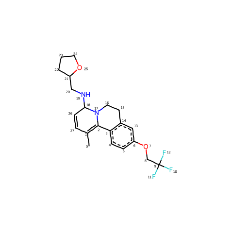 CC1=C2c3ccc(OCC(F)(F)F)cc3CCN2C(NCC2CCCO2)C=C1